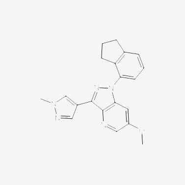 COc1cnc2c(-c3cnn(C)c3)nn(-c3cccc4c3CCC4)c2c1